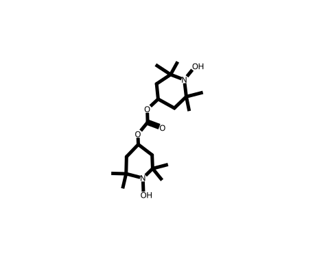 CC1(C)CC(OC(=O)OC2CC(C)(C)N(O)C(C)(C)C2)CC(C)(C)N1O